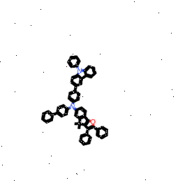 CC1(C)c2cc(N(c3ccc(-c4ccccc4)cc3)c3ccc(-c4ccc5c(c4)c4ccccc4n5-c4ccccc4)cc3)ccc2-c2oc(-c3ccccc3)c(-c3ccccc3)c21